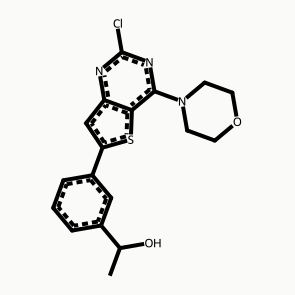 CC(O)c1cccc(-c2cc3nc(Cl)nc(N4CCOCC4)c3s2)c1